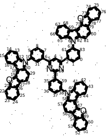 c1cc(-c2cc(-c3cccc(-n4c5ccccc5c5c6oc7ccccc7c6ccc54)c3)nc(-c3cccc(-n4c5ccccc5c5c6oc7ccccc7c6ccc54)c3)n2)cc(-n2c3ccccc3c3c4oc5ccccc5c4ccc32)c1